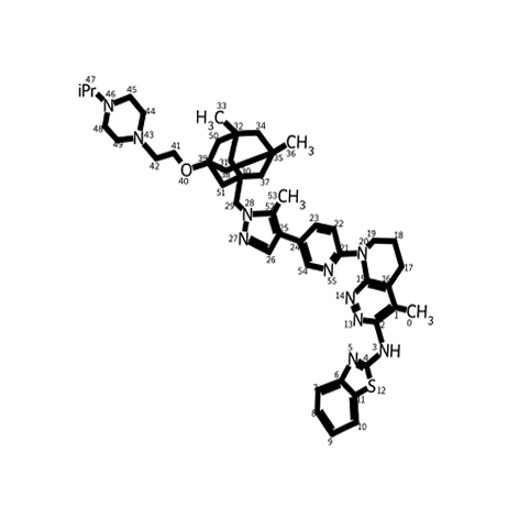 Cc1c(Nc2nc3ccccc3s2)nnc2c1CCCN2c1ccc(-c2cnn(CC34CC5(C)CC(C)(C3)CC(OCCN3CCN(C(C)C)CC3)(C5)C4)c2C)cn1